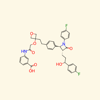 O=C(COC1(CCc2ccc([C@@H]3[C@@H](CCC(O)c4ccc(F)cc4)C(=O)N3c3ccc(F)cc3)cc2)COC1)Nc1cccc(C(=O)O)c1